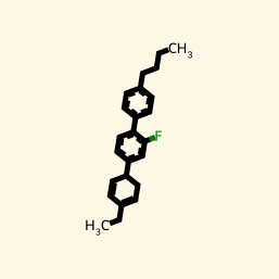 CCCCc1ccc(-c2ccc(C3C=CC(CC)=CC3)cc2F)cc1